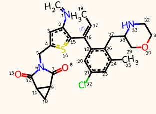 C=Nc1cc(CN2C(=O)C3CC3C2=O)sc1/C(=C\C)c1cc(Cl)cc(C)c1CC1COCCN1